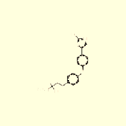 CCc1nc(-c2ccc(Oc3ccc(CCC(CC)(CC)NC(C)=O)cc3)cc2)c[nH]1